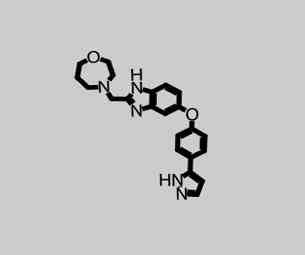 c1cc(-c2ccc(Oc3ccc4[nH]c(CN5CCCOCC5)nc4c3)cc2)[nH]n1